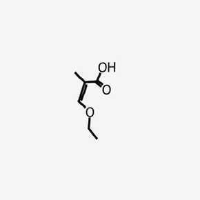 CCOC=C(C)C(=O)O